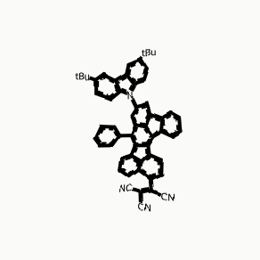 CC(C)(C)c1ccc2c(c1)c1cc(C(C)(C)C)ccc1n2-c1cc2c(-c3ccccc3)c3c4cccc5c(C(C#N)=C(C#N)C#N)ccc(c54)c3c3c4ccccc4c(c1)c23